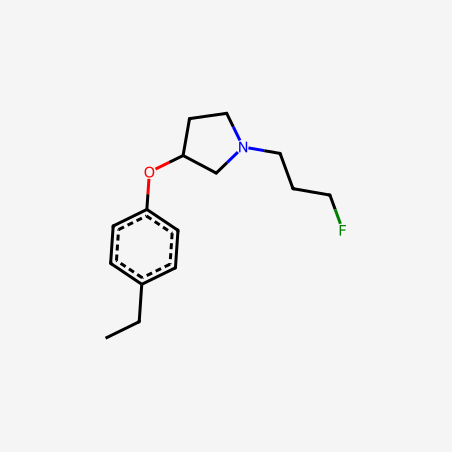 CCc1ccc(OC2CCN(CCCF)C2)cc1